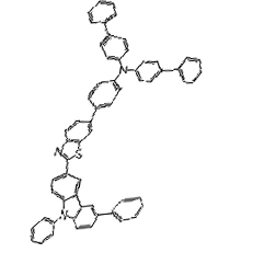 c1ccc(-c2ccc(N(c3ccc(-c4ccccc4)cc3)c3ccc(-c4ccc5nc(-c6ccc7c(c6)c6cc(-c8ccccc8)ccc6n7-c6ccccc6)sc5c4)cc3)cc2)cc1